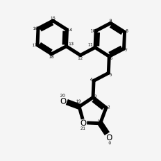 O=C1C=C(CCc2ccccc2Cc2ccccc2)C(=O)O1